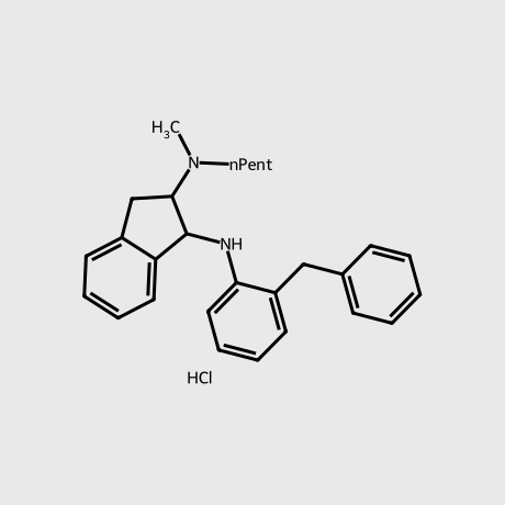 CCCCCN(C)C1Cc2ccccc2C1Nc1ccccc1Cc1ccccc1.Cl